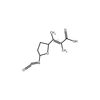 C/C(C(=O)O)=C(/C)C1CCC(N=C=O)O1